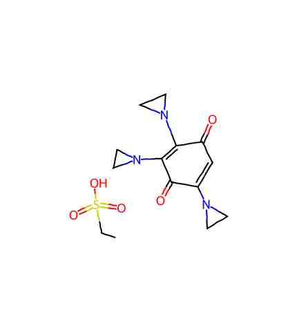 CCS(=O)(=O)O.O=C1C=C(N2CC2)C(=O)C(N2CC2)=C1N1CC1